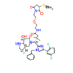 BSC1CC(=O)N(CCOCCNC(=O)CC(C)(C)[C@H](c2nc(-c3cc(F)ccc3F)cn2Cc2ccccc2)N2C[C@@H]3C(NC[C@@H]3F)[C@H](O)C2=O)C1=O